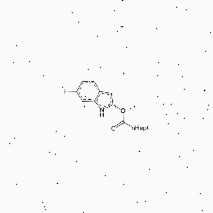 CCCCCCCC(=O)Oc1cc2ccc(F)cc2[nH]1